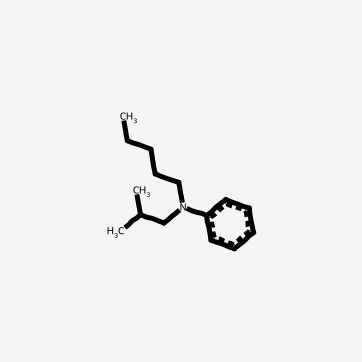 CCCCCN(C[C](C)C)c1ccccc1